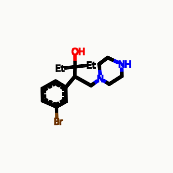 CCC(O)(CC)C(CN1CCNCC1)c1cccc(Br)c1